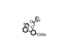 COc1ccc(-c2cccc3nccn23)c(OCC(=O)NC(C)C)c1